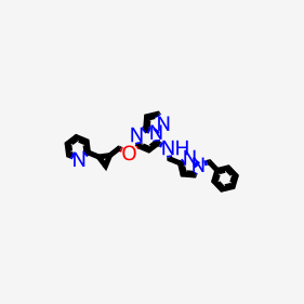 c1ccc(Cn2ccc(CNc3cc(OCC4CC4c4ccccn4)nc4ccnn34)n2)cc1